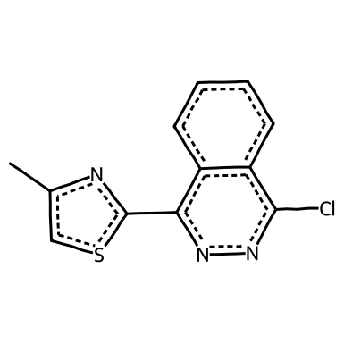 Cc1csc(-c2nnc(Cl)c3ccccc23)n1